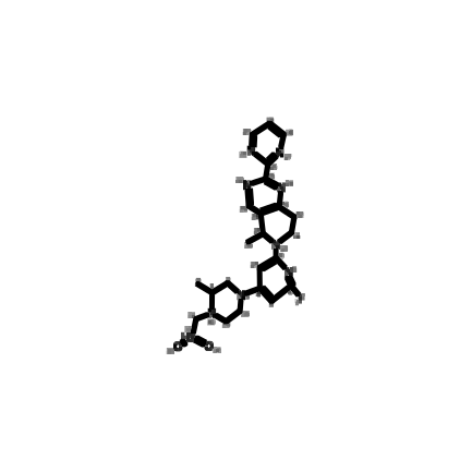 CC1CN(c2cc(F)nc(N3CCc4nc(-c5ncccn5)ncc4C3C)c2)CCN1C[SH](=O)=O